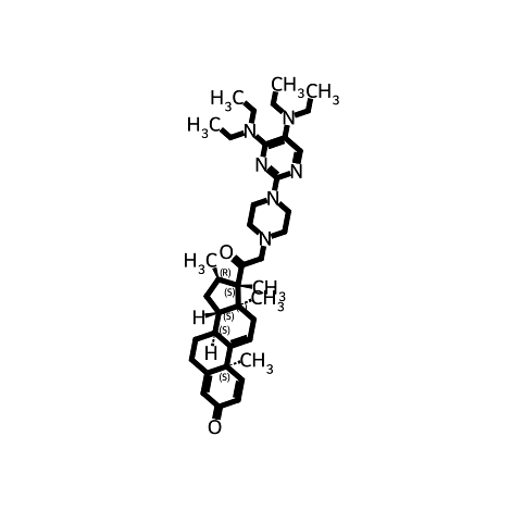 CCN(CC)c1cnc(N2CCN(CC(=O)[C@@]3(C)[C@H](C)C[C@H]4[C@@H]5CCC6=CC(=O)C=C[C@]6(C)C5=CC[C@@]43C)CC2)nc1N(CC)CC